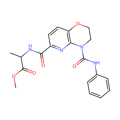 COC(=O)C(C)NC(=O)c1ccc2c(n1)N(C(=O)Nc1ccccc1)CCO2